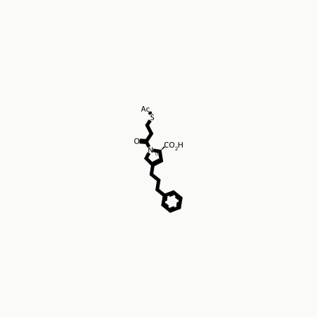 CC(=O)SCCC(=O)N1CC(CCCc2ccccc2)=C[C@H]1C(=O)O